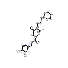 C[C@@H]1CN(C(=O)/C=C/c2ccc(Cl)c(Cl)c2)CC(=O)N1CCCN1CCCCC1